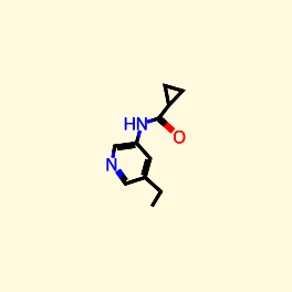 CCc1cncc(NC(=O)C2CC2)c1